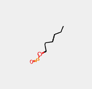 CCCCCCOP=O